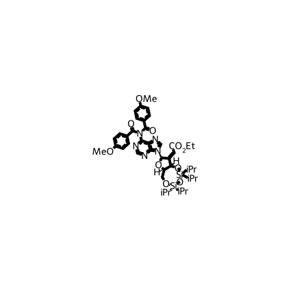 CCOC(=O)C=C1[C@H](n2cnc3c(N(C(=O)c4ccc(OC)cc4)C(=O)c4ccc(OC)cc4)ncnc32)O[C@@H]2CO[Si](C(C)C)(C(C)C)O[Si](C(C)C)(C(C)C)O[C@@H]12